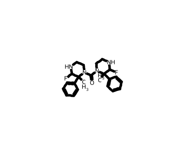 CC1(c2ccccc2)C(F)NCCN1C(=O)N1CCNC(F)C1(C)c1ccccc1